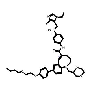 CCCCOCCOc1ccc(-c2ccc3c(c2)/C=C(/C(=O)Nc2ccc([S@+]([O-])Cc4c(C)ncn4CC)cc2)CCCN3CC2COCCO2)cc1